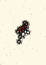 C=C1CC2c3ccccc3N3c4nc5ccccc5nc4N(c4ccccc4)C3C2C2N(c3ccc(-c4ccccc4)cc3)c3ccccc3N2c2ccc(-c3ccccc3)cc21